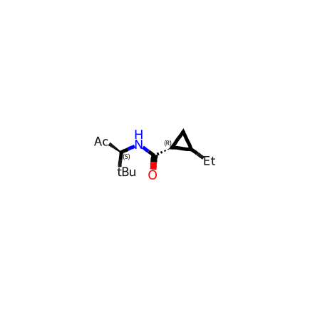 CCC1C[C@H]1C(=O)N[C@H](C(C)=O)C(C)(C)C